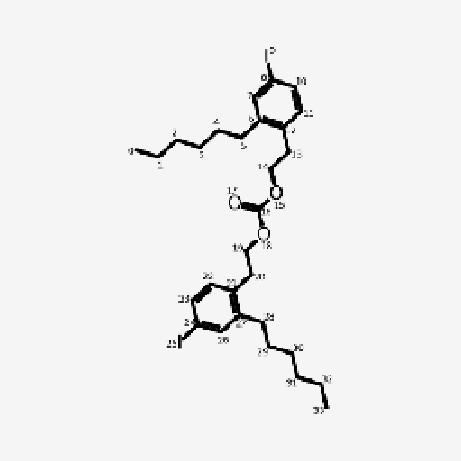 CCCCCCc1cc(I)ccc1CCOC(=O)OCCc1ccc(I)cc1CCCCCC